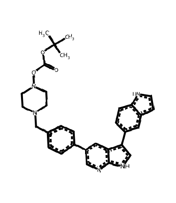 CC(C)(C)OC(=O)ON1CCN(Cc2ccc(-c3cnc4[nH]cc(-c5ccc6[nH]ccc6c5)c4c3)cc2)CC1